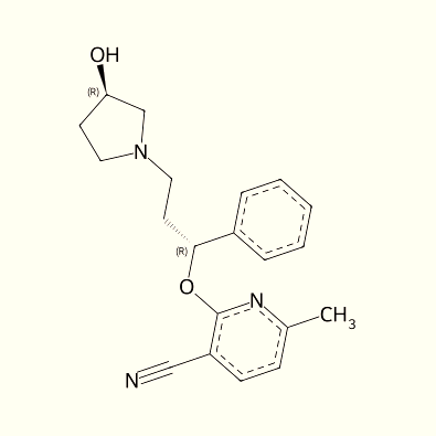 Cc1ccc(C#N)c(O[C@H](CCN2CC[C@@H](O)C2)c2ccccc2)n1